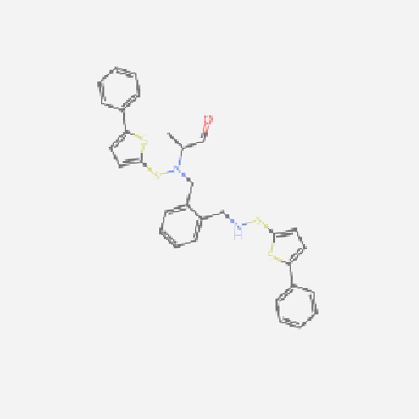 CC(C=O)N(Cc1ccccc1CNSc1ccc(-c2ccccc2)s1)Sc1ccc(-c2ccccc2)s1